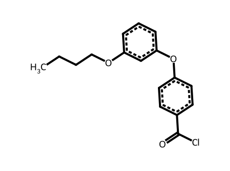 CCCCOc1cccc(Oc2ccc(C(=O)Cl)cc2)c1